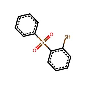 O=S(=O)(c1ccccc1)c1ccccc1S